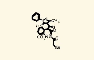 Cc1nn(-c2ccccc2)c(C)c1-c1noc(NC(=O)CC(C)(C)C)c1-c1ccccc1C(=O)O